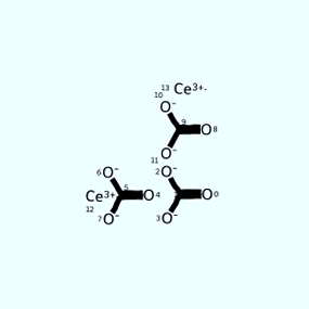 O=C([O-])[O-].O=C([O-])[O-].O=C([O-])[O-].[Ce+3].[Ce+3]